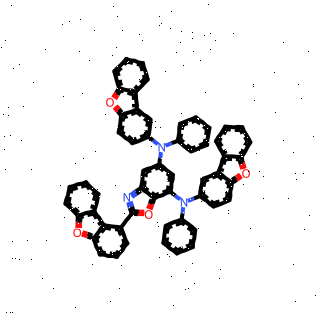 c1ccc(N(c2cc(N(c3ccccc3)c3ccc4oc5ccccc5c4c3)c3oc(-c4cccc5oc6ccccc6c45)nc3c2)c2ccc3oc4ccccc4c3c2)cc1